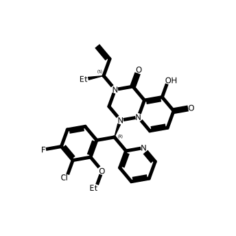 C=C[C@H](CC)N1CN([C@@H](c2ccccn2)c2ccc(F)c(Cl)c2OCC)n2ccc(=O)c(O)c2C1=O